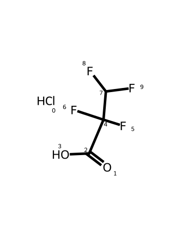 Cl.O=C(O)C(F)(F)C(F)F